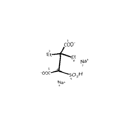 CCC(CC)(C(=O)[O-])C(C(=O)[O-])S(=O)(=O)O.[Na+].[Na+]